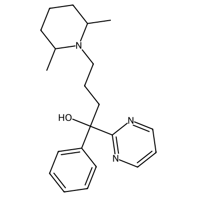 CC1CCCC(C)N1CCCC(O)(c1ccccc1)c1ncccn1